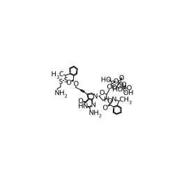 CC(N)c1ccccc1C(=O)O[C@@H]1C[C@H](n2cc(C#CCOC(=O)c3ccccc3C(C)SSCCN)c3c(=O)[nH]c(N)nc32)OC1COP(=O)(O)OP(=O)(O)OP(=O)(O)O